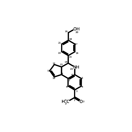 CC(=O)c1ccc2c(c1)C1C=CCC1C(c1ccc(CO)cc1)N2